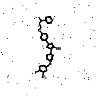 CCCCc1nc(-c2ccc(OCCN(C)c3ccncc3)cc2)cn1-c1ccc(Oc2ccc(F)c(C(F)(F)F)c2)cc1